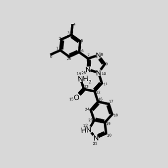 Cc1cc(C)cc(-c2ncn(/C=C(\C(N)=O)c3ccc4cn[nH]c4c3)n2)c1